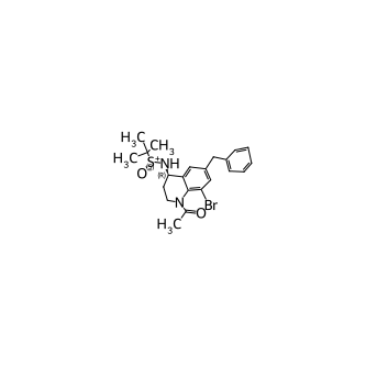 CC(=O)N1CC[C@@H](N[S@+]([O-])C(C)(C)C)c2cc(Cc3ccccc3)cc(Br)c21